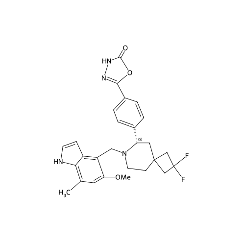 COc1cc(C)c2[nH]ccc2c1CN1CCC2(C[C@H]1c1ccc(-c3n[nH]c(=O)o3)cc1)CC(F)(F)C2